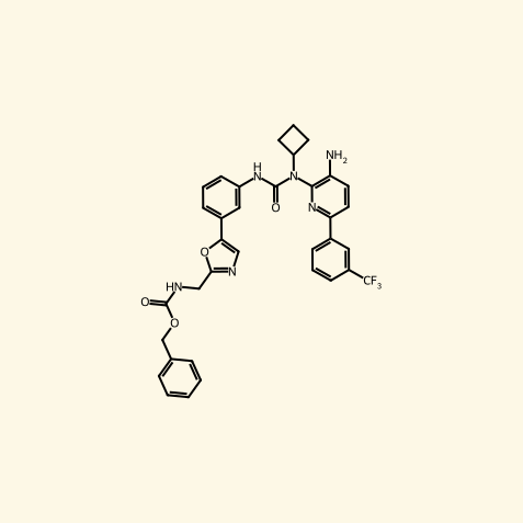 Nc1ccc(-c2cccc(C(F)(F)F)c2)nc1N(C(=O)Nc1cccc(-c2cnc(CNC(=O)OCc3ccccc3)o2)c1)C1CCC1